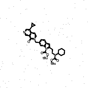 CC(C)(C)OC(=O)N(CCc1cc2ccc(Cn3ccc4c(C5CC5)cncc4c3=O)cc2n1C(=O)OC(C)(C)C)C1CCCCC1